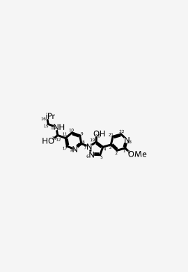 COc1cc(-c2cnn(-c3ccc(C(O)NCC(C)C)cn3)c2O)ccn1